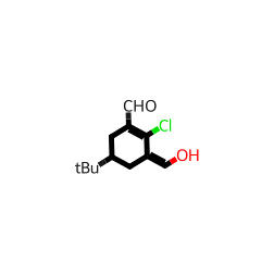 CC(C)(C)C1CC(C=O)=C(Cl)/C(=C\O)C1